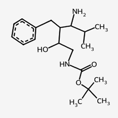 CC(C)C(N)C(Cc1ccccc1)C(O)CNC(=O)OC(C)(C)C